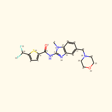 Cn1c(NC(=O)c2ccc(C(F)F)s2)nc2cc(CN3CCOCC3)ccc21